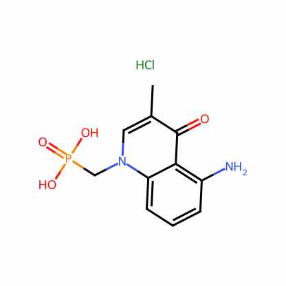 Cc1cn(CP(=O)(O)O)c2cccc(N)c2c1=O.Cl